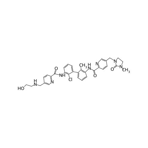 Cc1c(NC(=O)c2ccc(CN3CCN(C)C3=O)cn2)cccc1-c1cccc(NC(=O)c2ccc(CNCCO)cn2)c1Cl